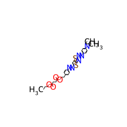 CCCCOC(=O)CCC(=O)OCCc1ccc(N=Nc2cc3sc(N=Nc4ccc(N(CC)CC)cc4)nc3s2)cc1